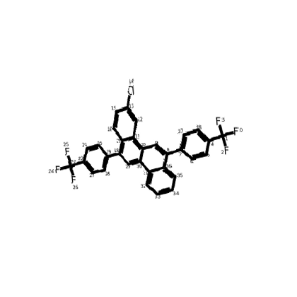 FC(F)(F)c1ccc(-c2cc3c4cc(Cl)ccc4c(-c4ccc(C(F)(F)F)cc4)cc3c3ccccc23)cc1